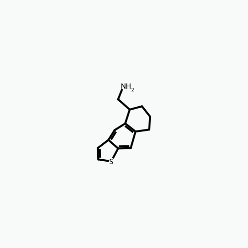 NCC1CCCc2cc3sccc3cc21